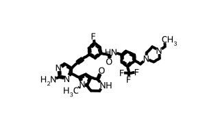 CCN1CCN(Cc2ccc(NC(=O)c3cc(F)cc(C#Cc4cnc(N)nc4-c4cc5c(n4C)CCNC5=O)c3)cc2C(F)(F)F)CC1